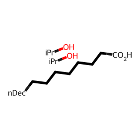 CC(C)O.CC(C)O.CCCCCCCCCCCCCCCCCC(=O)O